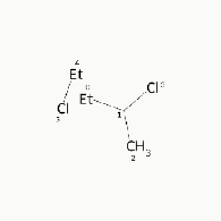 CCC(C)Cl.CCCl